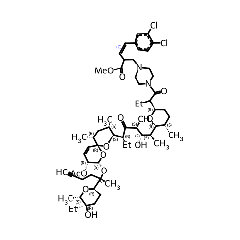 C#CCC[C@](C)(O[C@H]1O[C@]2(C=C[C@H]1OC(C)=O)O[C@H]([C@@H](CC)C(=O)[C@@H](C)[C@@H](O)[C@H](C)[C@@H]1O[C@@H](C(CC)C(=O)N3CCN(CC(/C=C\c4ccc(Cl)c(Cl)c4)C(=O)OC)CC3)CC[C@@H]1C)[C@@H](C)C[C@H]2C)[C@H]1CC[C@](O)(CC)[C@H](C)O1